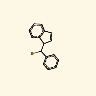 BrC(c1ccccc1)C1C=Cc2ccccc21